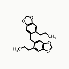 CCCc1cc2c(cc1Cc1cc3c(cc1CCC)OCO3)OCO2